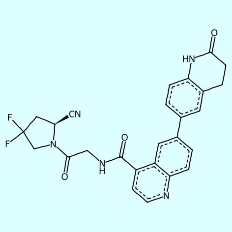 N#C[C@@H]1CC(F)(F)CN1C(=O)CNC(=O)c1ccnc2ccc(-c3ccc4c(c3)CCC(=O)N4)cc12